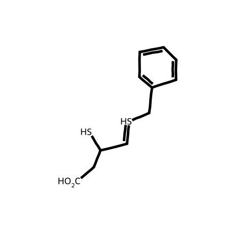 O=C(O)CC(S)C=[SH]Cc1ccccc1